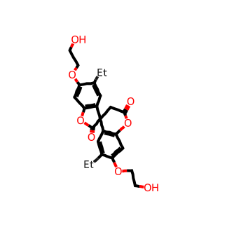 CCc1cc2c(cc1OCCO)OC(=O)CC21C(=O)Oc2cc(OCCO)c(CC)cc21